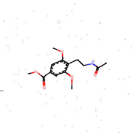 COC(=O)c1cc(OC)c(CCNC(C)=O)c(OC)c1